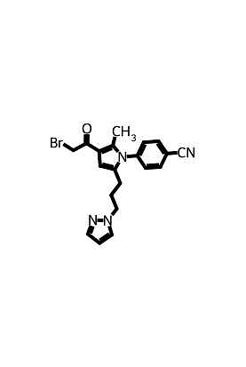 Cc1c(C(=O)CBr)cc(CCCn2cccn2)n1-c1ccc(C#N)cc1